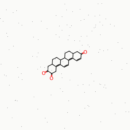 O=C1C=CC2=C3C=CC4=C5CC(=O)C(=O)CC5CCC4C3CCC2C1